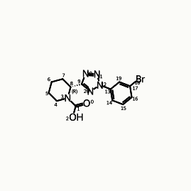 O=C(O)N1CCCC[C@@H]1c1nnn(-c2cccc(Br)c2)n1